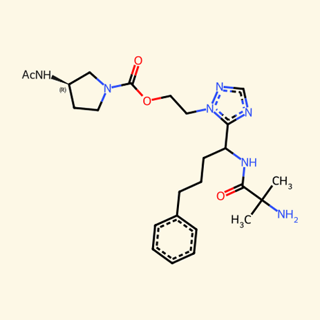 CC(=O)N[C@@H]1CCN(C(=O)OCCn2ncnc2C(CCCc2ccccc2)NC(=O)C(C)(C)N)C1